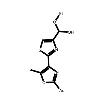 CCOC(O)c1csc(-c2nc(C(C)=O)oc2C)n1